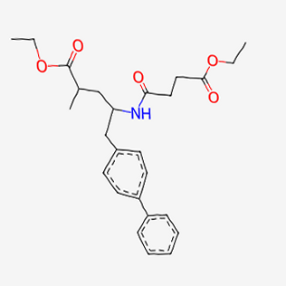 CCOC(=O)CCC(=O)NC(Cc1ccc(-c2ccccc2)cc1)CC(C)C(=O)OCC